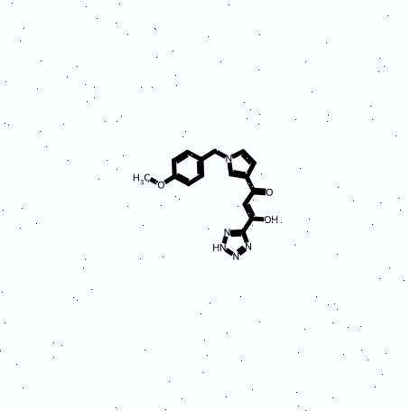 COc1ccc(Cn2ccc(C(=O)C=C(O)c3nn[nH]n3)c2)cc1